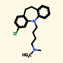 CN(CCCCN1c2ccccc2CCc2ccc(Cl)cc21)C(=O)O